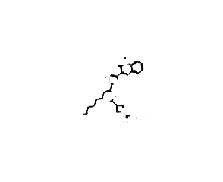 CCC(=O)CCCCCC(NC(=O)C1CN(C(=O)OC(C)(C)C)C1)c1ncc(-c2cc3ccccc3n(C)c2=O)o1